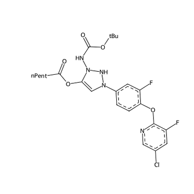 CCCCCC(=O)OC1=CN(c2ccc(Oc3ncc(Cl)cc3F)c(F)c2)NN1NC(=O)OC(C)(C)C